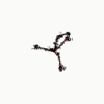 CC(=O)N[C@H]1[C@@H]2OC[C@](COCCOCCOCCOCCn3cc(COCC(COC/C(=C/NCCOCCOCCOCCOC[C@]45CO[C@H](C[C@@H](O)[C@H]4O)O5)NN)(COC/C(=C/NCCOCCOCCOCCOC[C@]45CO[C@H](C[C@@H](O)[C@H]4O)O5)N(C)N)NC(=O)CCCCCNC(=O)CCCCCOC4OCC(NC(=O)CCCCCSSc5ccccn5)CO4)nn3)(O2)[C@H](O)[C@@H]1O